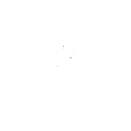 CN1CC[C@@]23c4c5ccc(CO)c4O[C@@H]2C(=O)CC[C@]3(O)C1C5